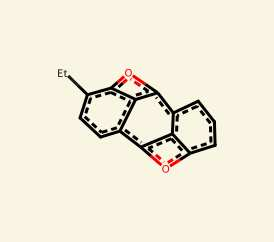 CCc1ccc2c3oc4cccc(c5oc1c25)c43